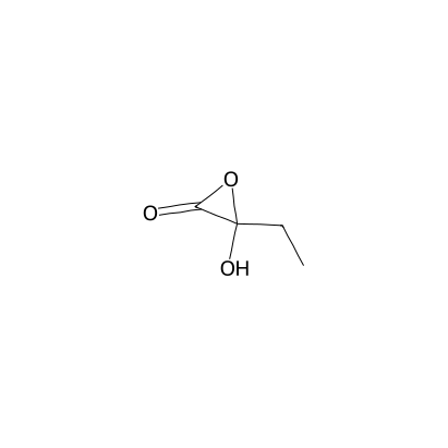 CCC1(O)OC1=O